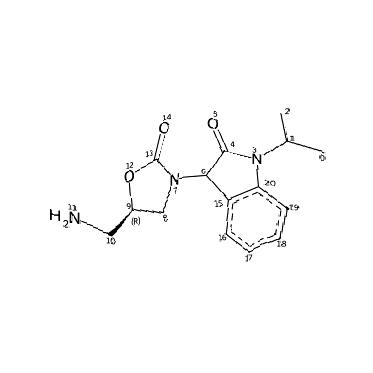 CC(C)N1C(=O)C(N2C[C@@H](CN)OC2=O)c2ccccc21